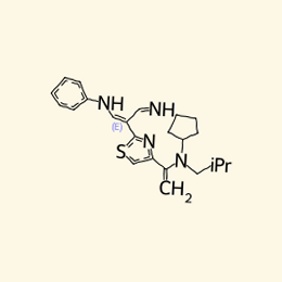 C=C(c1csc(/C(C=N)=C/Nc2ccccc2)n1)N(CC(C)C)C1CCCC1